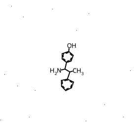 CC(c1ccccc1)C(N)c1ccc(O)cc1